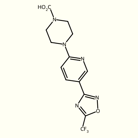 O=C(O)N1CCN(c2ccc(-c3noc(C(F)(F)F)n3)cn2)CC1